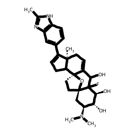 Cc1nc2cc(C3=CCC4[C@]3(C)CC=C3C(O)C5(F)[C@@H](O)[C@H](O)[C@@H](N(C)C)C[C@]56CC[C@@]34O6)ccc2[nH]1